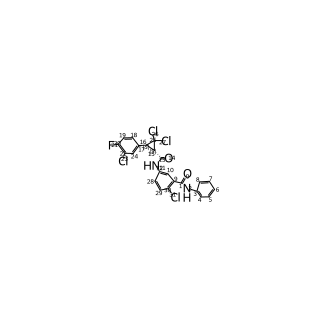 O=C(Nc1ccccc1)c1cc(NC(=O)[C@@H]2[C@@H](c3ccc(F)c(Cl)c3)C2(Cl)Cl)ccc1Cl